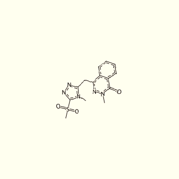 Cn1c(Cc2nn(C)c(=O)c3ccccc23)nnc1S(C)(=O)=O